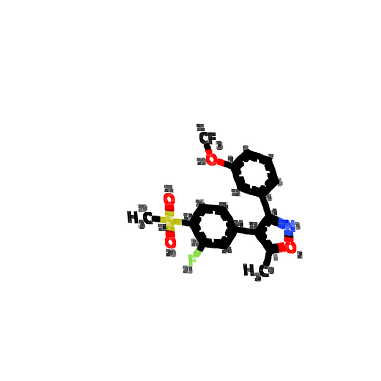 Cc1onc(-c2cccc(OC(F)(F)F)c2)c1-c1ccc(S(C)(=O)=O)c(F)c1